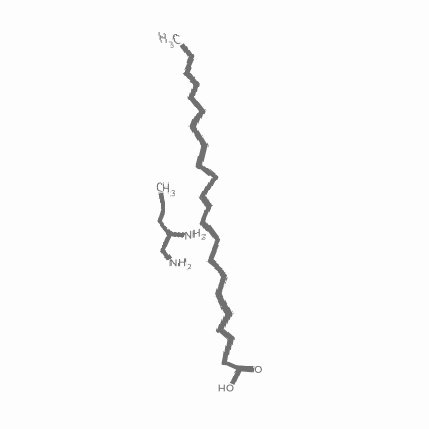 CCCC(N)CN.CCCCCCCCCCCCCCCCCCCCCC(=O)O